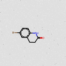 O=C1CCc2cc(Br)[c]cc2N1